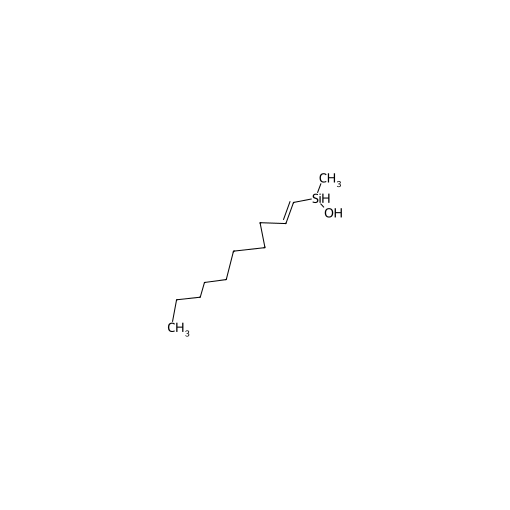 CCCCCCCCC=C[SiH](C)O